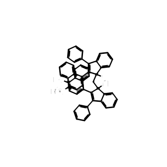 Cc1ccc(C2=C(c3ccccc3)c3ccccc3C2(Cl)CC2(Cl)C(c3ccc(C)c4ccccc34)=C(c3ccccc3)c3ccccc32)c2ccccc12.[Zr]